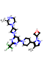 Cc1cnn(C2COC2)c1C1CCN(c2cc(N3CC(N4CCN[C@H](C)C4)C3)nc(C(F)(F)F)n2)CC1